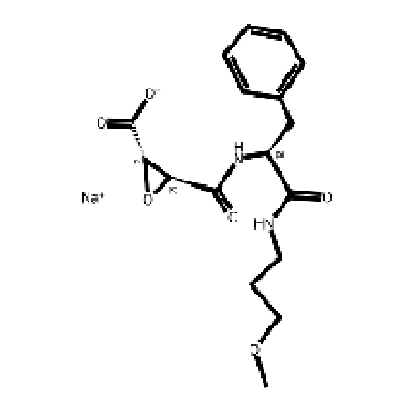 COCCCNC(=O)[C@H](Cc1ccccc1)NC(=O)[C@H]1O[C@@H]1C(=O)[O-].[Na+]